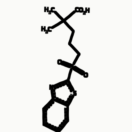 CC(C)(CCCS(=O)(=O)c1nc2ccccc2s1)C(=O)O